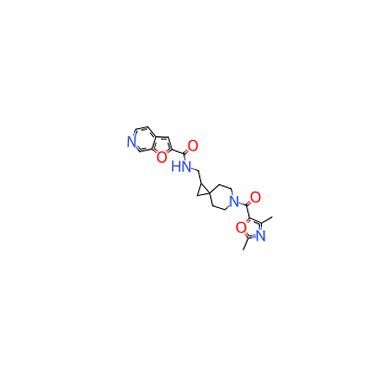 Cc1nc(C)c(C(=O)N2CCC3(CC2)CC3CNC(=O)c2cc3ccncc3o2)o1